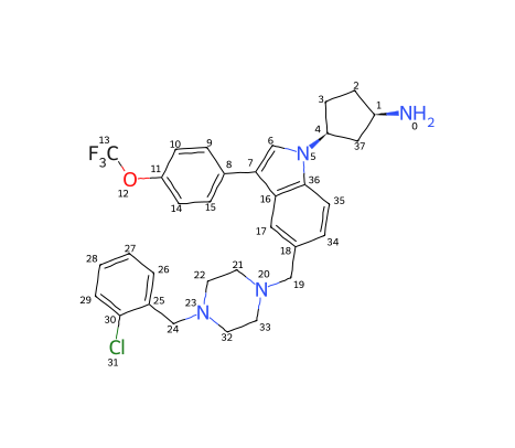 N[C@@H]1CC[C@H](n2cc(-c3ccc(OC(F)(F)F)cc3)c3cc(CN4CCN(Cc5ccccc5Cl)CC4)ccc32)C1